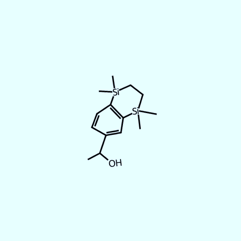 CC(O)c1ccc2c(c1)[Si](C)(C)CC[Si]2(C)C